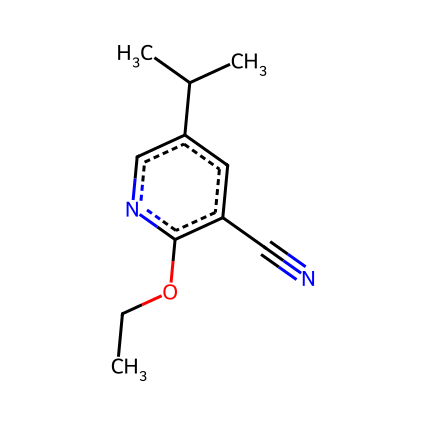 CCOc1ncc(C(C)C)cc1C#N